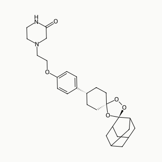 O=C1CN(CCOc2ccc([C@H]3CC[C@]4(CC3)OO[C@]3(O4)C4CC5CC(C4)CC3C5)cc2)CCN1